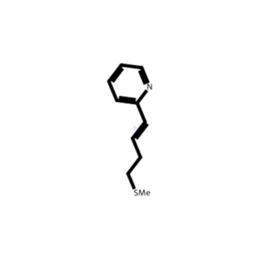 CSCC/C=C/c1ccccn1